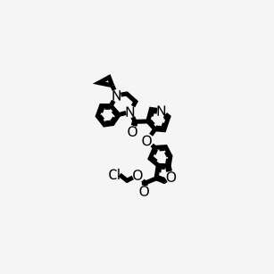 O=C(OCCl)c1coc2ccc(Oc3ccncc3C(=O)N3CCN(C4CC4)c4ccccc43)cc12